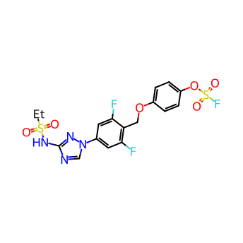 CCS(=O)(=O)Nc1ncn(-c2cc(F)c(COc3ccc(OS(=O)(=O)F)cc3)c(F)c2)n1